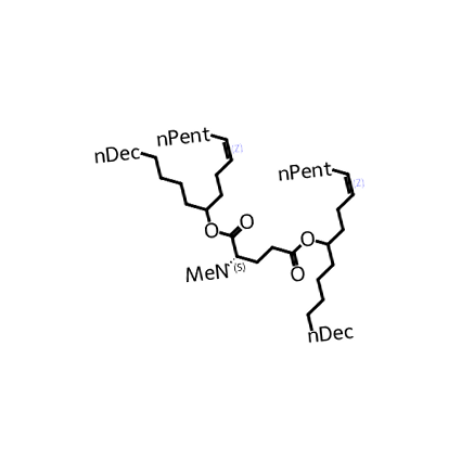 CCCCC/C=C\CCC(CCCCCCCCCCCCCC)OC(=O)CC[C@H](NC)C(=O)OC(CC/C=C\CCCCC)CCCCCCCCCCCCCC